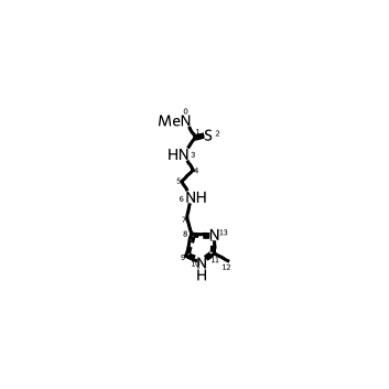 CNC(=S)NCCNCc1c[nH]c(C)n1